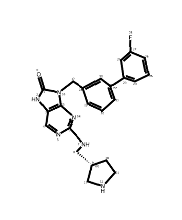 O=c1[nH]c2cnc(NC[C@@H]3CCNC3)nc2n1Cc1cccc(-c2cccc(F)c2)c1